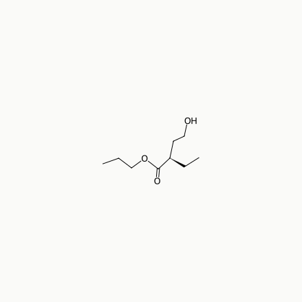 CCCOC(=O)[C@H](CC)CCO